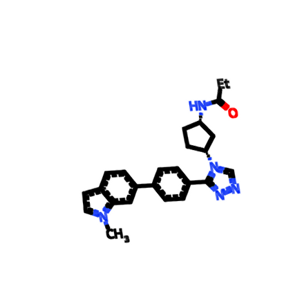 CCC(=O)N[C@H]1CC[C@@H](n2cnnc2-c2ccc(-c3ccc4ccn(C)c4c3)cc2)C1